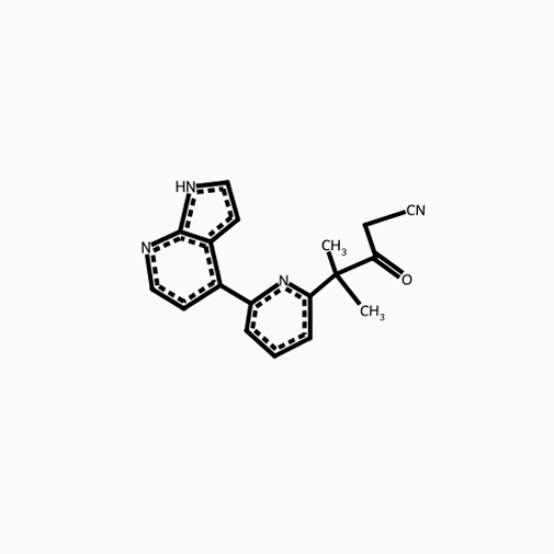 CC(C)(C(=O)CC#N)c1cccc(-c2ccnc3[nH]ccc23)n1